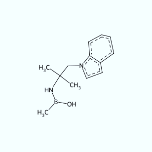 CB(O)NC(C)(C)Cn1ccc2ccccc21